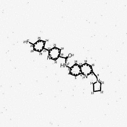 O=C(Nc1ccc2nc(CN3CCCC3)ccc2c1)c1ccc(-c2ccc(F)cc2)nc1